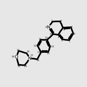 c1ccc2c(c1)CCN=C2c1ccc(CN2CCOCC2)cc1